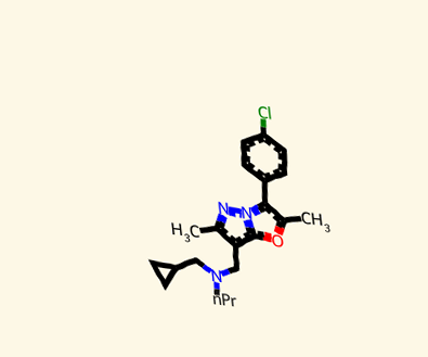 CCCN(Cc1c(C)nn2c(-c3ccc(Cl)cc3)c(C)oc12)CC1CC1